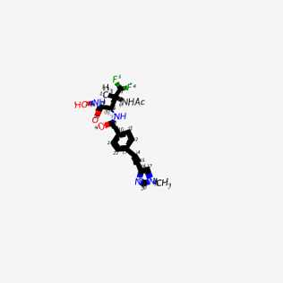 CC(=O)NC(C)(C(F)F)[C@H](NC(=O)c1ccc(C#Cc2cn(C)cn2)cc1)C(=O)NO